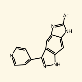 CC(=O)c1nc2cc3c(-c4ccncc4)n[nH]c3cc2[nH]1